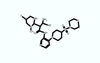 CN1CC(F)CNC1C(C(=O)Nc1cnccc1N1CCC(S(=O)(=O)N2CCOCC2)CC1)C(N)N=O